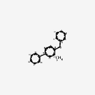 C.c1ccc(Cc2ccc(-c3ccccc3)cc2)cc1